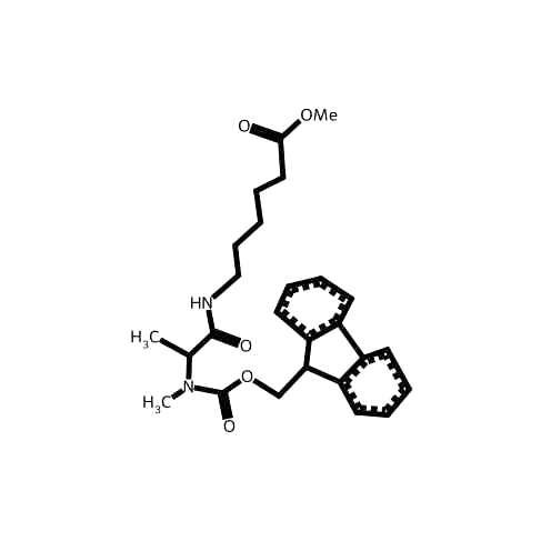 COC(=O)CCCCCNC(=O)C(C)N(C)C(=O)OCC1c2ccccc2-c2ccccc21